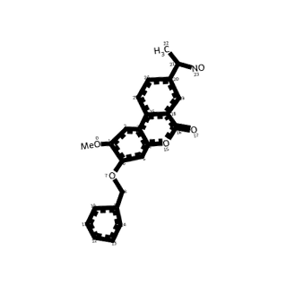 COc1cc2c(cc1OCc1ccccc1)oc(=O)c1cc(C(C)N=O)ccc12